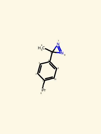 CC(C)c1ccc(C2(C)N=N2)cc1